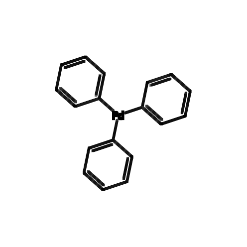 c1cc[c]([Pd]([c]2ccccc2)[c]2ccccc2)cc1